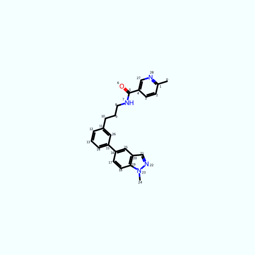 Cc1ccc(C(=O)NCCCc2cccc(-c3ccc4c(cnn4C)c3)c2)cn1